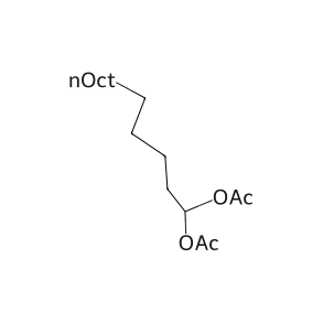 CCCCCCCCCCCCC(OC(C)=O)OC(C)=O